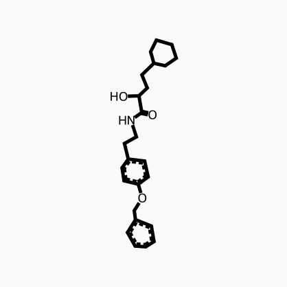 O=C(NCCc1ccc(OCc2ccccc2)cc1)C(O)CCC1CCCCC1